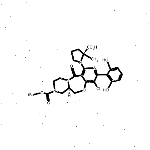 CC(C)(C)OC(=O)N1CCN2C(=O)c3c(N4CCC[C@@]4(C)C(=O)O)nc(-c4c(O)cccc4O)c(Cl)c3OC[C@H]2C1